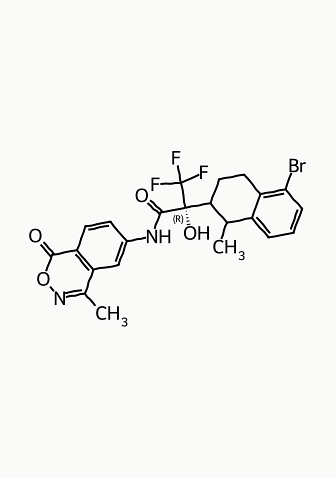 Cc1noc(=O)c2ccc(NC(=O)[C@](O)(C3CCc4c(Br)cccc4C3C)C(F)(F)F)cc12